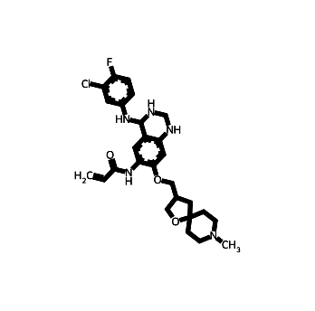 C=CC(=O)Nc1cc2c(cc1OCC1COC3(CCN(C)CC3)C1)NCNC2Nc1ccc(F)c(Cl)c1